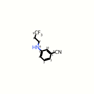 N#Cc1cccc(NCCC(F)(F)F)c1